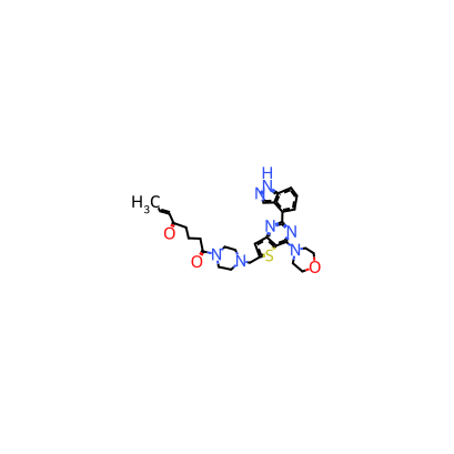 C/C=C/C(=O)CCCC(=O)N1CCN(Cc2cc3nc(-c4cccc5[nH]ncc45)nc(N4CCOCC4)c3s2)CC1